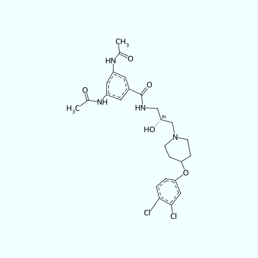 CC(=O)Nc1cc(NC(C)=O)cc(C(=O)NC[C@@H](O)CN2CCC(Oc3ccc(Cl)c(Cl)c3)CC2)c1